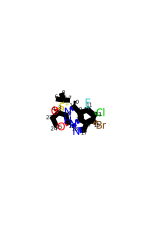 C[C@H](N[S@@+]([O-])C(C)(C)C)c1c(F)c(Cl)c(Br)c2cnn([C@@H]3CCCCO3)c12